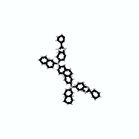 c1ccc(-c2nc3ccc(N(c4ccc5ccccc5c4)c4ccc5c(ccc6cc(N(c7ccc8ccccc8c7)c7ccc8nc(-c9ccccc9)sc8c7)ccc65)c4)cc3s2)cc1